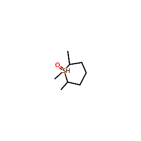 CC1CCCC(C)[SH]1(C)=O